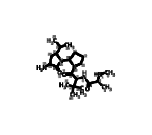 CN[C@@H](C)C(=O)N[C@H](C(=O)N1CCCC1N1C(=O)C(N)CC1C(C)C)C(C)(C)C